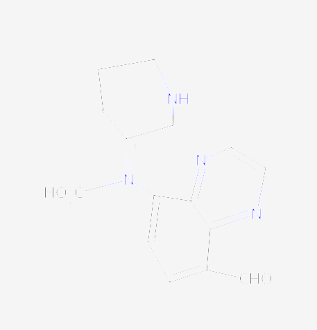 C[C@@H]1CNC[C@H](N(C(=O)O)c2ccc(C=O)c3nccnc23)C1